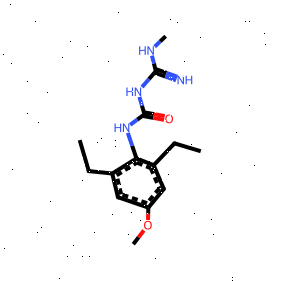 CCc1cc(OC)cc(CC)c1NC(=O)NC(=N)NC